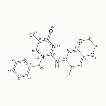 CC1C=C2OCCOC2=CC1Nc1nc(=O)c(Cl)cn1Cc1ccccc1